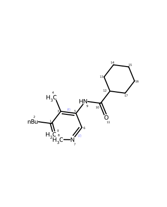 C=C(CCCC)/C(C)=C(\C=N/C)NC(=O)C1CCCCC1